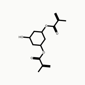 C=C(C)C(=O)OC1CC(O)CC(OC(=O)C(=C)C)C1